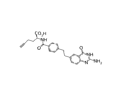 C#CCC[C@H](NC(=O)c1ccc(CCc2ccc3nc(N)[nH]c(=O)c3c2)cc1)C(=O)O